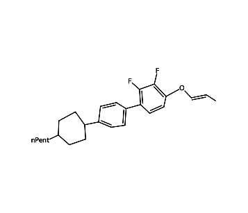 C/C=C/Oc1ccc(-c2ccc(C3CCC(CCCCC)CC3)cc2)c(F)c1F